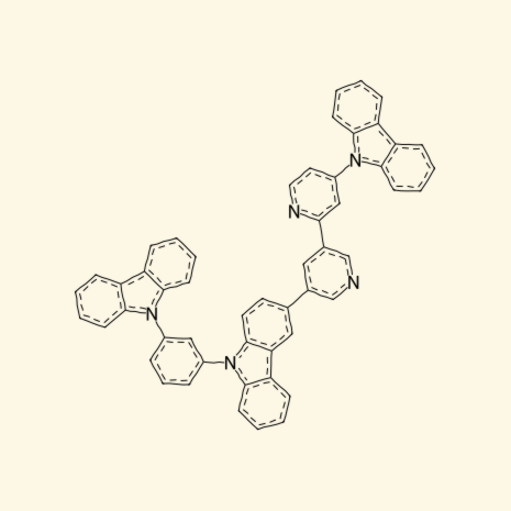 c1cc(-n2c3ccccc3c3ccccc32)cc(-n2c3ccccc3c3cc(-c4cncc(-c5cc(-n6c7ccccc7c7ccccc76)ccn5)c4)ccc32)c1